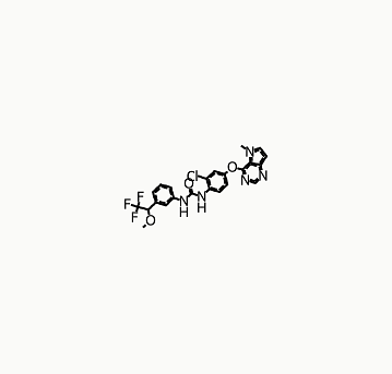 COC(c1cccc(NC(=O)Nc2ccc(Oc3ncnc4ccn(C)c34)cc2Cl)c1)C(F)(F)F